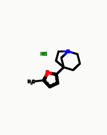 Cc1ccc(C23CCCN(CC2)C3)o1.Cl